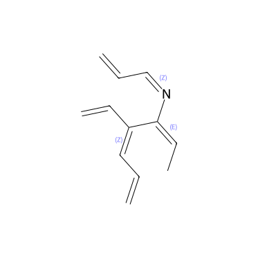 C=C\C=N/C(=C/C)C(/C=C)=C\C=C